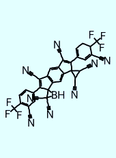 N#CC1=CC(C2=C(C#N)c3cc4c(cc3C23C(C#N)C3C#N)C2(BC2(C#N)C#N)C(c2ccc(C(F)(F)F)c(C#N)c2)=C4C#N)=CCC1C(F)(F)F